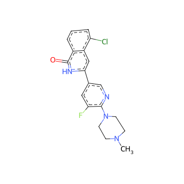 CN1CCN(c2ncc(-c3cc4c(Cl)cccc4c(=O)[nH]3)cc2F)CC1